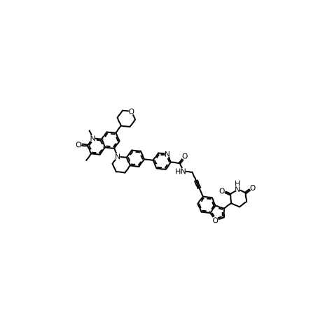 Cc1cc2c(N3CCCc4cc(-c5ccc(C(=O)NCC#Cc6ccc7occ(C8CCC(=O)NC8=O)c7c6)nc5)ccc43)cc(C3CCOCC3)cc2n(C)c1=O